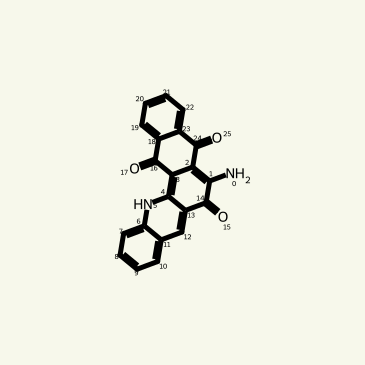 Nc1c2c(c3[nH]c4ccccc4cc-3c1=O)C(=O)c1ccccc1C2=O